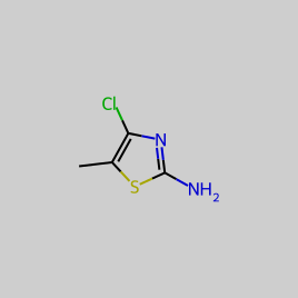 Cc1sc(N)nc1Cl